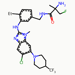 CCc1ccc(CNC(=O)C(C)(N)CF)cc1Nc1nc2cc(Cl)c(N3CCC(C(F)(F)F)CC3)cc2n1C